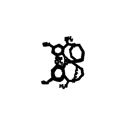 Cc1cc(C(C)(C)C)cc2c1OC1(Oc3c(cc(C(C)(C)C)cc3C(C)(C)C)C(N)N3CCCC1CC3)C1CCCN(CC1)C2N